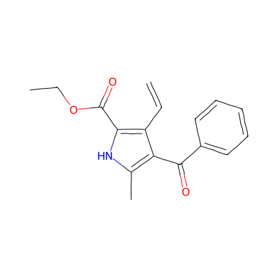 C=Cc1c(C(=O)OCC)[nH]c(C)c1C(=O)c1ccccc1